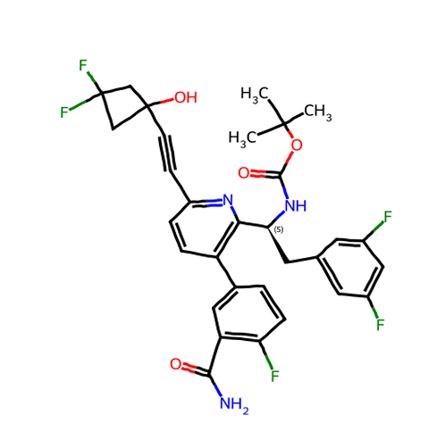 CC(C)(C)OC(=O)N[C@@H](Cc1cc(F)cc(F)c1)c1nc(C#CC2(O)CC(F)(F)C2)ccc1-c1ccc(F)c(C(N)=O)c1